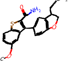 NC(=O)c1sc2ccc(OC(F)(F)F)cc2c1-c1ccc2c(c1)C(CC(=O)O)CO2